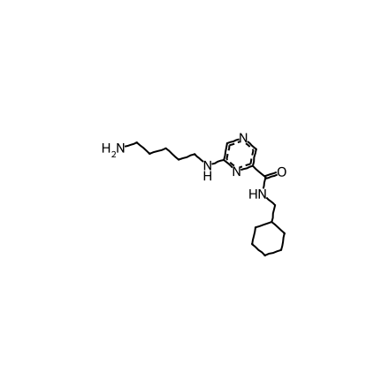 NCCCCCNc1cncc(C(=O)NCC2CCCCC2)n1